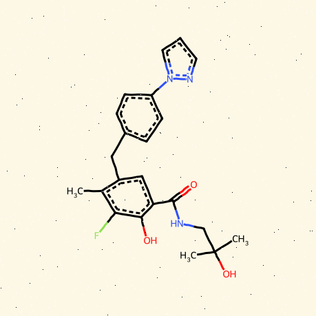 Cc1c(Cc2ccc(-n3cccn3)cc2)cc(C(=O)NCC(C)(C)O)c(O)c1F